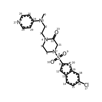 CN(CCN1CCN(S(=O)(=O)c2cc3ccc(Cl)cc3s2)CC1=O)c1ccncc1